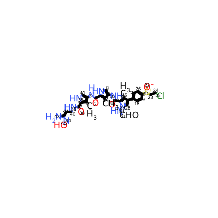 Cc1c(NC(=O)c2[nH]cc(NC(=O)c3c(C)c(-c4ccc([S+]([O-])CCCl)cc4)cn3NC=O)c2C)c[nH]c1C(=O)NCCC(N)=NO